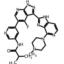 CC(C)C(=O)Nc1cncc(-c2cnc3[nH]nc(-c4nc5c(N6CCN(C)CC6)nccc5[nH]4)c3c2F)c1